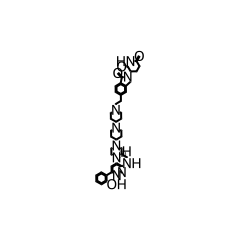 O=C1CCC(N2Cc3cc(CCN4CCC(N5CCC(N6CCN7c8cc(-c9ccccc9O)nnc8NC[C@H]7C6)CC5)CC4)ccc3C2=O)C(=O)N1